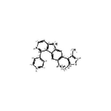 COc1cc2c(cc1-c1c(C)noc1C)[nH]c1ccnc(-c3ccncc3)c12